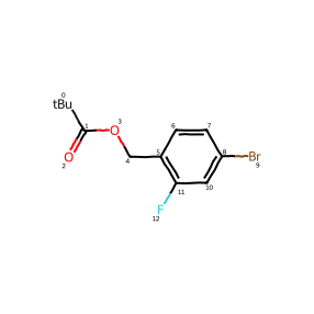 CC(C)(C)C(=O)OCc1ccc(Br)cc1F